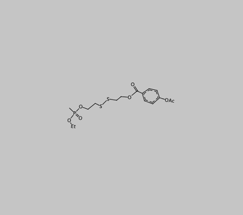 CCOP(C)(=O)OCCSSCCOC(=O)c1ccc(OC(C)=O)cc1